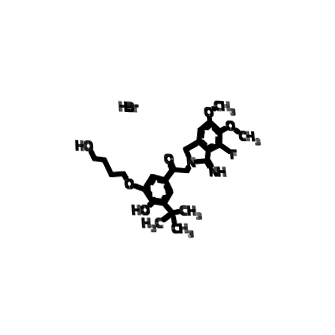 Br.COc1cc2c(c(F)c1OC)C(=N)N(CC(=O)c1cc(OCCCCO)c(O)c(C(C)(C)C)c1)C2